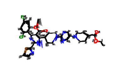 CCOC(=O)C1CCN(c2cnc(N3CCC(C4=C(C(=O)OC)C(c5ccc(F)cc5Cl)N=C(c5nccs5)N4)CC3)nc2)CC1